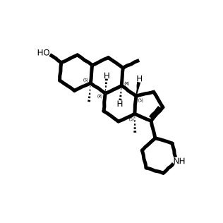 CC1CC2CC(O)CC[C@]2(C)[C@@H]2CC[C@]3(C)C(C4CCCNC4)=CC[C@H]3[C@H]12